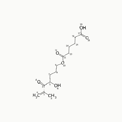 C=C(C)C(=O)C(O)CCCOC(=O)CCCCC(=O)O